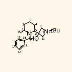 CC1CCCC(C2(O)CN(C(C)(C)C)C2)N1Cc1ccccc1